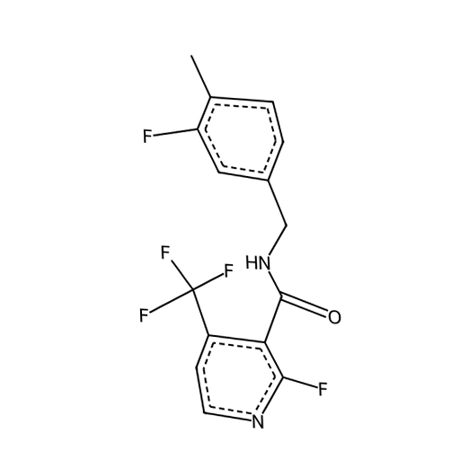 Cc1ccc(CNC(=O)c2c(C(F)(F)F)ccnc2F)cc1F